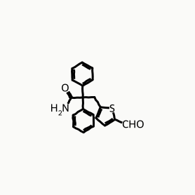 NC(=O)C(Cc1ccc(C=O)s1)(c1ccccc1)c1ccccc1